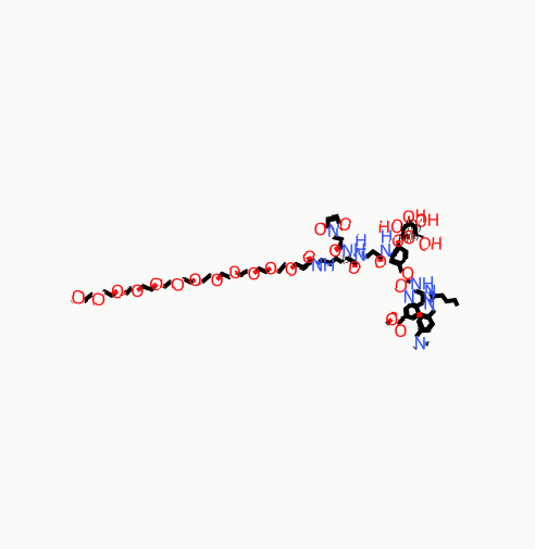 CCCCc1nc2c(NC(=O)OCc3ccc(O[C@H]4O[C@H](CO)[C@@H](O)[C@H](O)[C@@H]4O)c(NC(=O)CCNC(=O)[C@H](CCCCNC(=O)CCOCCOCCOCCOCCOCCOCCOCCOCCOCCOCCOCCOC)NC(=O)CCN4C(=O)C=CC4=O)c3)nc3cc(C(=O)OC)ccc3c2n1Cc1ccc(CN(C)C)cc1